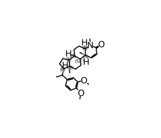 COc1ccc(C(C)[C@H]2CC[C@H]3[C@@H]4CC[C@H]5N(C)C(=O)C=C[C@]5(C)[C@H]4CC[C@]23C)cc1OC